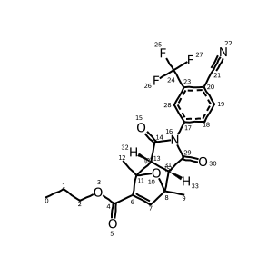 CCCOC(=O)C1=CC2(C)OC1(C)[C@@H]1C(=O)N(c3ccc(C#N)c(C(F)(F)F)c3)C(=O)[C@@H]12